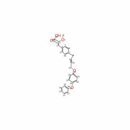 CO[C@@H](Cc1ccc(CC#CCOc2ccc(Oc3ccccc3)cc2)cc1)C(=O)O